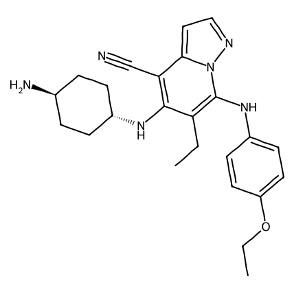 CCOc1ccc(Nc2c(CC)c(N[C@H]3CC[C@H](N)CC3)c(C#N)c3ccnn23)cc1